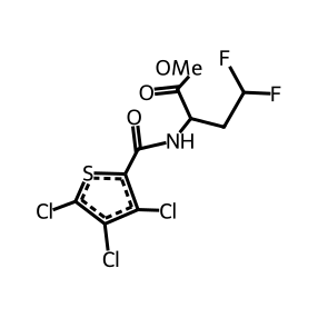 COC(=O)C(CC(F)F)NC(=O)c1sc(Cl)c(Cl)c1Cl